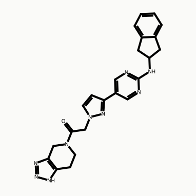 O=C(Cn1ccc(-c2cnc(NC3Cc4ccccc4C3)nc2)n1)N1CCc2[nH]nnc2C1